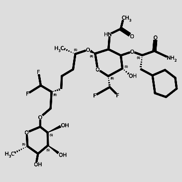 CC(=O)NC1C(O[C@@H](CC2CCCCC2)C(N)=O)[C@H](O)[C@H](C(F)F)O[C@H]1O[C@@H](C)CCC[C@H](COC1O[C@@H](C)C(O)[C@H](O)[C@@H]1O)C(F)F